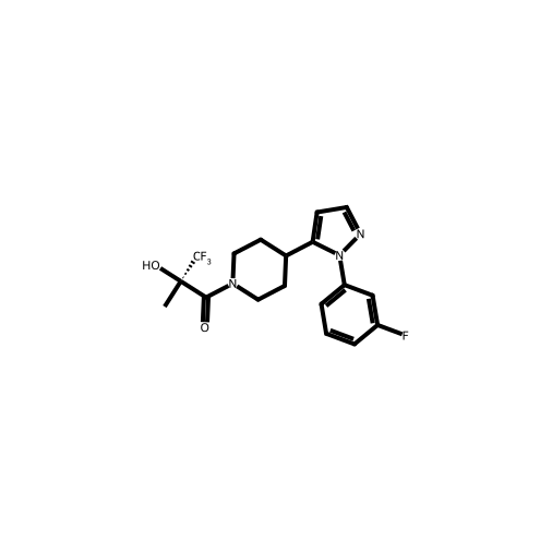 C[C@@](O)(C(=O)N1CCC(c2ccnn2-c2cccc(F)c2)CC1)C(F)(F)F